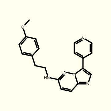 COc1ccc(CCNc2ccc3ncc(-c4ccncc4)n3n2)cc1